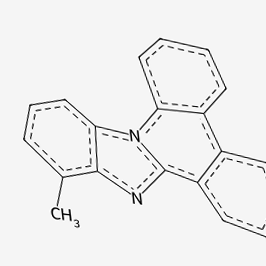 Cc1cccc2c1nc1c3cc(I)ccc3c3ccccc3n21